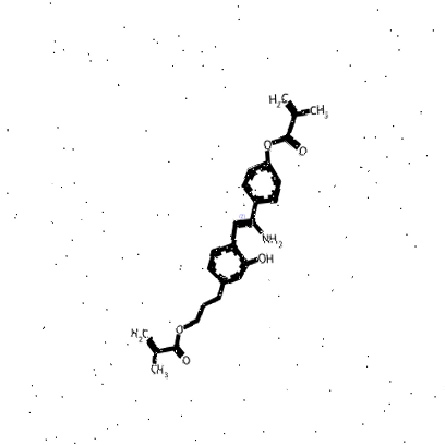 C=C(C)C(=O)OCCCc1ccc(/C=C(\N)c2ccc(OC(=O)C(=C)C)cc2)c(O)c1